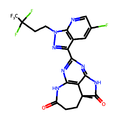 CC12CCC(=O)Nc3nc(-c4nn(CCC(F)(F)C(F)(F)F)c5ncc(F)cc45)nc(c31)NC2=O